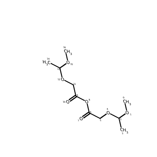 COC(C)OCC(=O)OC(=O)COC(C)OC